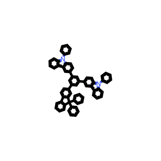 c1ccc(-n2c3ccccc3c3cc(-c4cc(-c5ccc6c(c5)C(c5ccccc5)(c5ccccc5)c5ccccc5-6)cc(-c5ccc6c(c5)c5ccccc5n6-c5ccccc5)c4)ccc32)cc1